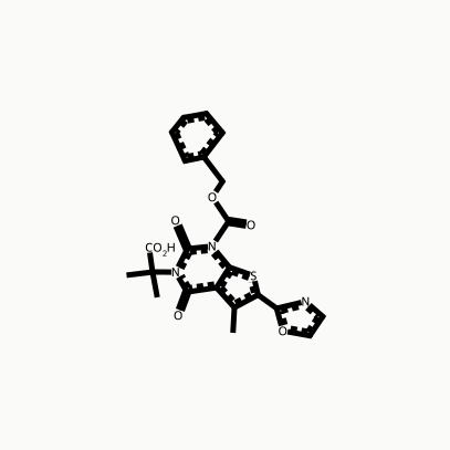 Cc1c(-c2ncco2)sc2c1c(=O)n(C(C)(C)C(=O)O)c(=O)n2C(=O)OCc1ccccc1